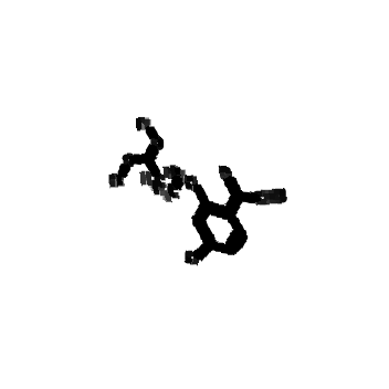 CCCC.CCOC(C)OCC.O=CC(=O)c1ccc(Cl)cc1Cl